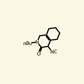 [C-]#[N+]C1C(=O)N(CCCC)CC2=C1CCCC2